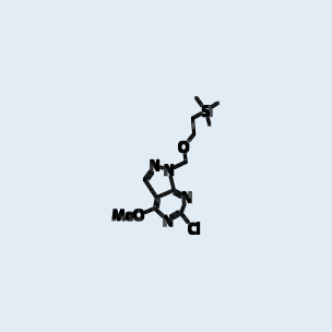 COc1nc(Cl)nc2c1cnn2COCC[Si](C)(C)C